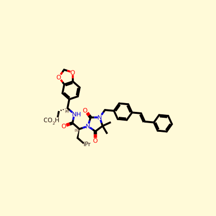 CC(C)C[C@@H](C(=O)N[C@H](CC(=O)O)c1ccc2c(c1)OCO2)N1C(=O)N(Cc2ccc(C=Cc3ccccc3)cc2)C(C)(C)C1=O